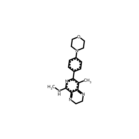 CNc1nc(-c2ccc(N3CCOCC3)cc2)c(C)c2c1=NCCN=2